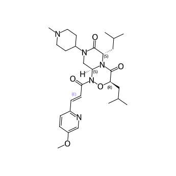 COc1ccc(/C=C/C(=O)N2O[C@H](CC(C)C)C(=O)N3[C@@H]2CN(C2CCN(C)CC2)C(=O)[C@@H]3CC(C)C)nc1